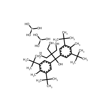 Cc1c(C(C)(C)C)cc(C(O)(c2cc(C(C)(C)C)c(C)c(C(C)(C)C)c2)C(CO)(CO)CO)cc1C(C)(C)C.OP(O)O.OP(O)O